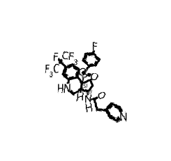 O=C(Cc1ccncc1)N[C@@H]1CC[C@@]2(S(=O)(=O)c3ccc(F)cc3)c3ccc(C(F)(C(F)(F)F)C(F)(F)F)cc3NC[C@@H]12